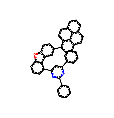 c1ccc(-c2cc(-c3cccc4oc5ccc(-c6ccc7ccc8cccc9ccc6c7c89)cc5c34)nc(-c3ccccc3)n2)cc1